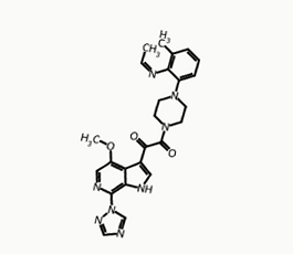 C/C=N\c1c(C)cccc1N1CCN(C(=O)C(=O)c2c[nH]c3c(-n4cncn4)ncc(OC)c23)CC1